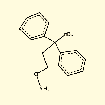 CCCCC(CCO[SiH3])(c1ccccc1)c1ccccc1